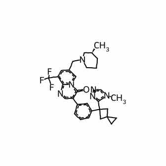 C[C@H]1CCCN(Cc2cc(C(F)(F)F)c3ncc(-c4cccc(C5(c6nncn6C)CC6(CC6)C5)c4)c(=O)n3c2)C1